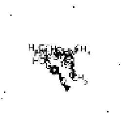 CC(C)NCC(O)COc1ccc(CCOCC2CC2)cc1.CCN[C@H]1CN(CCCOC)S(=O)(=O)c2sc(S(N)(=O)=O)cc21